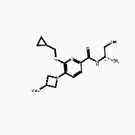 COC1CN(c2ccc(C(=O)N[C@@H](C)CO)nc2OCC2CC2)C1